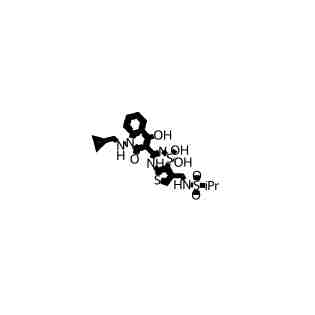 CC(C)S(=O)(=O)NCc1csc2c1S(O)(O)N=C(c1c(O)c3ccccc3n(NCC3CC3)c1=O)N2